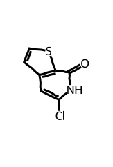 O=c1[nH]c(Cl)cc2ccsc12